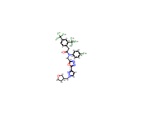 O=C(Cc1ccc(C(F)(F)F)cc1C(F)(F)F)N(Cc1nnc(-c2ccn(CC3CCOC3)n2)o1)c1ccc(F)cc1